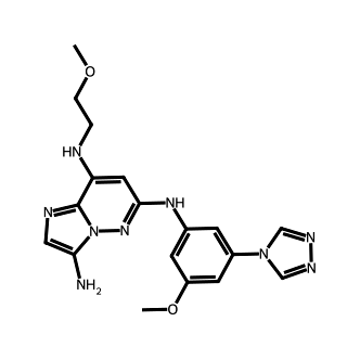 COCCNc1cc(Nc2cc(OC)cc(-n3cnnc3)c2)nn2c(N)cnc12